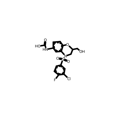 O=C(O)Nc1ccc2c(c1)N(S(=O)(=O)c1ccc(F)c(Cl)c1)CC(CO)O2